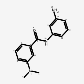 CN(C)c1cccc(C(=O)Nc2cccc(N)c2)c1